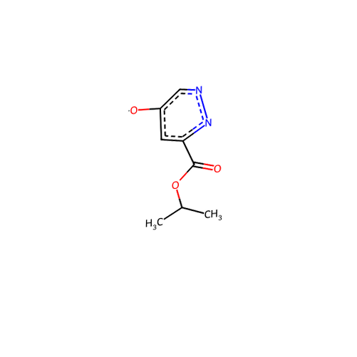 CC(C)OC(=O)c1cc([O])cnn1